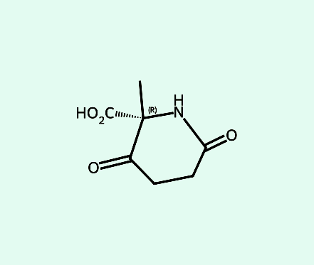 C[C@@]1(C(=O)O)NC(=O)CCC1=O